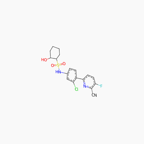 N#Cc1nc(-c2ccc(NS(=O)(=O)C3CCCCC3O)cc2Cl)ccc1F